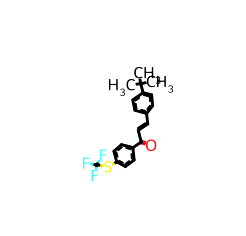 CC(C)(C)c1ccc(C=CC(=O)c2ccc(SC(F)(F)F)cc2)cc1